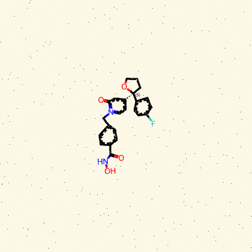 O=C(NO)c1ccc(Cn2ccc([C@@]3(c4ccc(F)cc4)CCCO3)cc2=O)cc1